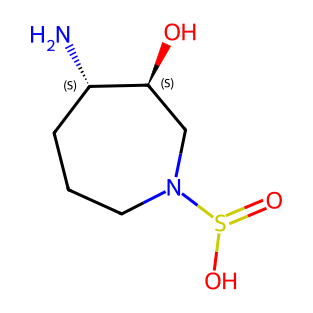 N[C@H]1CCCN(S(=O)O)C[C@@H]1O